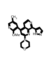 COc1ncc(C)cc1-c1cc(N2CCOCC2)nc2c(-c3ccn[nH]3)nccc12